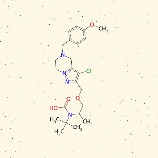 COc1ccc(CN2CCn3nc(COCC(C)N(C(=O)O)C(C)(C)C)c(Cl)c3C2)cc1